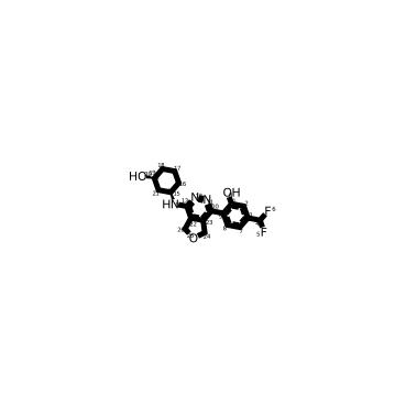 Oc1cc(C(F)F)ccc1-c1nnc(N[C@@H]2CCC[C@H](O)C2)c2c1COC2